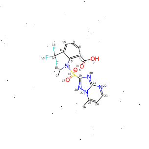 CCN(c1c(C(=O)O)cccc1C(F)(F)F)S(=O)(=O)c1nc2nccc(C)n2n1